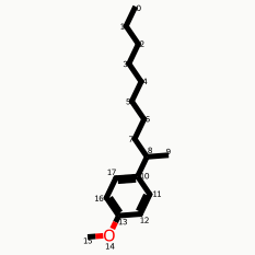 CCCCCCCCC(C)c1ccc(OC)cc1